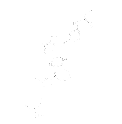 CCCC(=O)Nc1cncc(-c2ccc3[nH]nc(-c4nc5c(-c6cc(F)cc(NCCN(C)C)c6)ccnc5[nH]4)c3n2)c1